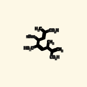 C=C(C(=O)O)C(C)C=C(C(=O)O)C(C=C(C)C(=O)O)CCCCCCCCCC